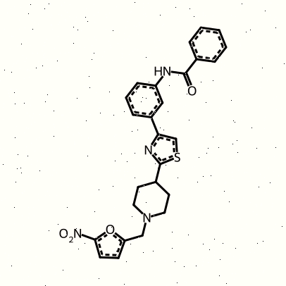 O=C(Nc1cccc(-c2csc(C3CCN(Cc4ccc([N+](=O)[O-])o4)CC3)n2)c1)c1ccccc1